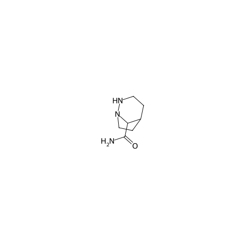 NC(=O)C1C2CCNN1CC2